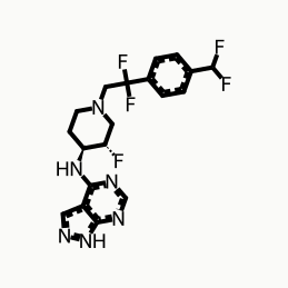 FC(F)c1ccc(C(F)(F)CN2CC[C@H](Nc3ncnc4[nH]ncc34)[C@@H](F)C2)cc1